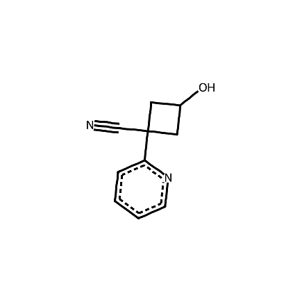 N#CC1(c2ccccn2)CC(O)C1